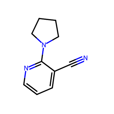 N#Cc1cccnc1N1CCCC1